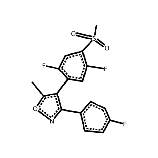 Cc1onc(-c2ccc(F)cc2)c1-c1cc(F)c(S(C)(=O)=O)cc1F